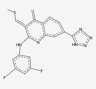 C=c1/c(=C\SC)c(Nc2cc(F)cc(F)c2)nc2cc(-c3nnn[nH]3)ccc12